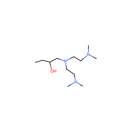 CCC(O)CN(CCN(C)C)CCN(C)C